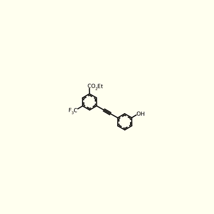 CCOC(=O)c1cc(C#Cc2cccc(O)c2)cc(C(F)(F)F)c1